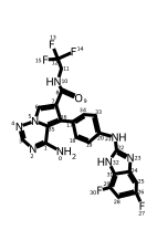 Nc1ncnn2cc(C(=O)NCC(F)(F)F)c(-c3ccc(Nc4nc5cc(F)cc(F)c5[nH]4)cc3)c12